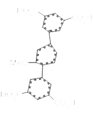 COc1cc(-c2cc(C(=O)O)cc(C(=O)O)c2)ccc1-c1cc(C(=O)O)cc(C(=O)O)c1